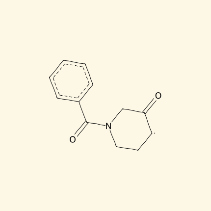 O=C1[CH]CCN(C(=O)c2ccccc2)C1